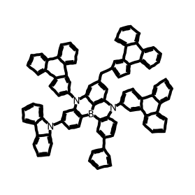 c1ccc(-c2ccc3c(c2)B2c4ccc(-n5c6ccccc6c6ccccc65)cc4N(c4ccc5c6ccccc6c6ccccc6c5c4)c4cc(Cc5ccc6c7ccccc7c7ccccc7c6c5)cc(c42)N3c2ccc3c4ccccc4c4ccccc4c3c2)cc1